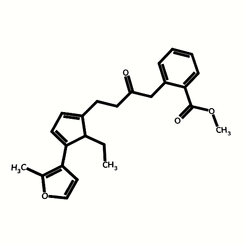 CCC1C(CCC(=O)Cc2ccccc2C(=O)OC)=CC=C1c1ccoc1C